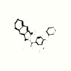 CCOc1cc(C(CC(=O)O)N2C(=O)c3cc4ccccc4cc3C2=O)ccc1OC1CCCCC1